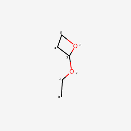 C[CH]OC1CCO1